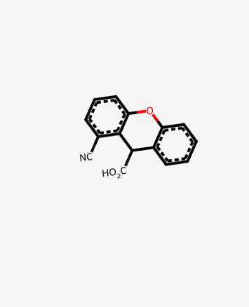 N#Cc1cccc2c1C(C(=O)O)c1ccccc1O2